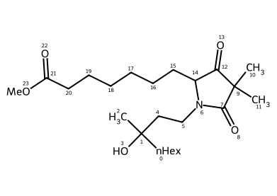 CCCCCCC(C)(O)CCN1C(=O)C(C)(C)C(=O)C1CCCCCCC(=O)OC